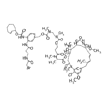 COc1cc2cc(c1Cl)N(C)C(=O)C[C@H](OC(=O)[C@H](C)N(C)C(=O)CCOC(=O)N(C)CCN(C)C(=O)OCc1ccc(NC(=O)OC3/C=C/CCCCC3)c(NC(=O)CCNC(=O)CBr)c1)C1(C)O[C@H]1[C@H](C)[C@@H]1C[C@@](O)(NC(=O)O1)[C@H](OC)/C=C/C=C(\C)C2